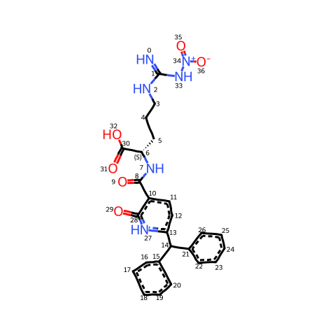 N=C(NCCC[C@H](NC(=O)c1ccc(C(c2ccccc2)c2ccccc2)[nH]c1=O)C(=O)O)N[N+](=O)[O-]